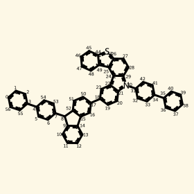 c1ccc(-c2ccc(C3c4ccccc4-c4cc(-c5ccc6c(c5)c5c7c(ccc5n6-c5ccc(-c6ccccc6)cc5)sc5ccccc57)ccc43)cc2)cc1